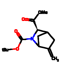 C=C1CC2CC1N(C(=O)OC(C)(C)C)[C@@H]2C(=O)OC